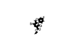 CCOC(=O)c1cc(Br)c(CO)n(-c2ccc(F)cc2)c1=O